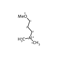 COCC[CH2][Al]([CH3])[CH3]